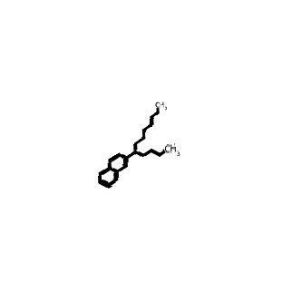 CCC=CCCCC(CCCC)c1ccc2ccccc2c1